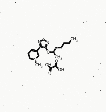 CCCCCC(C)Oc1nsnc1C1=CCCN(C)C1.O=C(O)C(=O)O